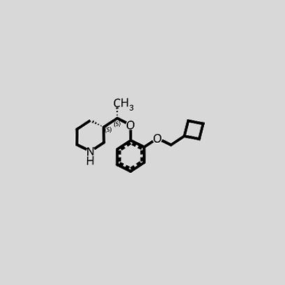 C[C@H](Oc1ccccc1OCC1CCC1)[C@H]1CCCNC1